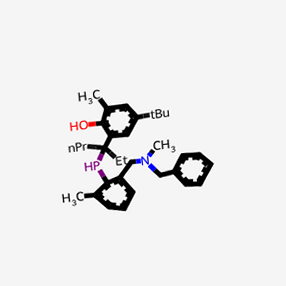 CCCC(CC)(Pc1c(C)cccc1CN(C)Cc1ccccc1)c1cc(C(C)(C)C)cc(C)c1O